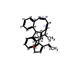 C=CC1=CCC=C1N1c2cccc3c2C2C(=N3)/C(=C\C=C/c3ccccc32)C1C